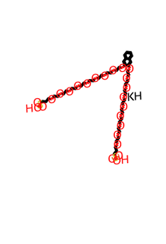 O=S(=O)(O)CCCOCCOCCOCCOCCOCCOCCOCCOCCOc1cc2ccccc2cc1OCCOCCOCCOCCOCCOCCOCCOCCOCCCS(=O)(=O)O.[KH]